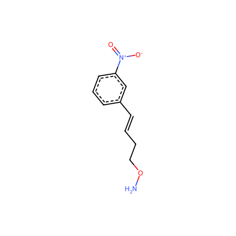 NOCCC=Cc1cccc([N+](=O)[O-])c1